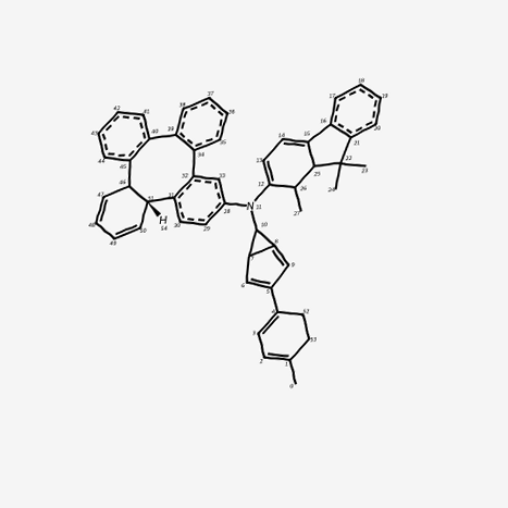 CC1=CC=C(C2=CC3C(=C2)C3N(C2=CC=C3c4ccccc4C(C)(C)C3C2C)c2ccc3c(c2)-c2ccccc2-c2ccccc2C2C=CC=C[C@@H]32)CC1